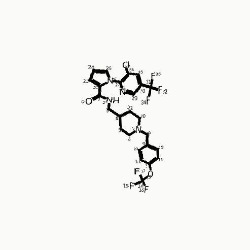 O=C(NCC1CCN(Cc2ccc(OC(F)(F)F)cc2)CC1)c1cccn1-c1ncc(C(F)(F)F)cc1Cl